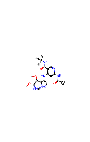 [2H]C([2H])([2H])NC(=O)c1cnc(NC(=O)C2CC2)cc1Nc1cnn2cnc(OC)c(OC)c12